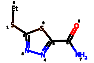 CCSc1nnc(C(N)=O)s1